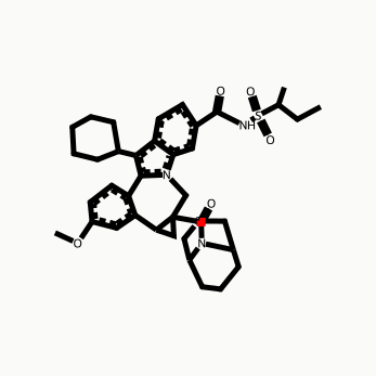 CCC(C)S(=O)(=O)NC(=O)c1ccc2c(C3CCCCC3)c3n(c2c1)CC1(C(=O)N2C4CCCC2COC4)CC1c1cc(OC)ccc1-3